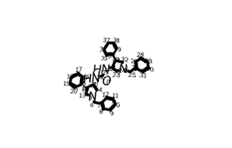 O=C(N[C@@H]1CN(Cc2ccccc2)C[C@@H]1c1ccccc1)N[C@@H]1CN(Cc2ccccc2)C[C@@H]1c1ccccc1